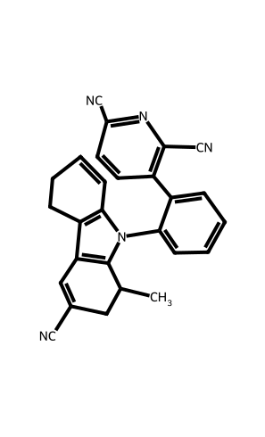 CC1CC(C#N)=Cc2c3c(n(-c4ccccc4-c4ccc(C#N)nc4C#N)c21)C=CCC3